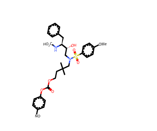 COc1ccc(S(=O)(=O)N(C[C@@H](O)[C@H](Cc2ccccc2)NC(=O)O)CC(C)(C)CCOC(=O)Oc2ccc(N=O)cc2)cc1